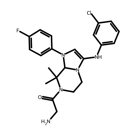 CC1(C)C2N(CCN1C(=O)CN)C(Nc1cccc(Cl)c1)=CN2c1ccc(F)cc1